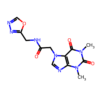 Cn1c(=O)c2c(ncn2CC(=O)NCc2nnco2)n(C)c1=O